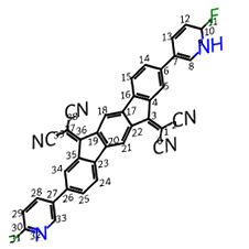 N#CC(C#N)=C1c2cc(C3=CNC(F)C=C3)ccc2-c2cc3c(cc21)-c1ccc(-c2ccc(F)nc2)cc1C3=C(C#N)C#N